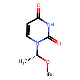 CCC(C)O[C@H](C)n1ccc(=O)[nH]c1=O